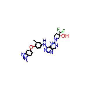 Cc1cc(Nc2ncnc3cnc(N4CC[C@@](O)(C(F)F)C4)nc23)ccc1Oc1ccc2c(c1)ncn2C